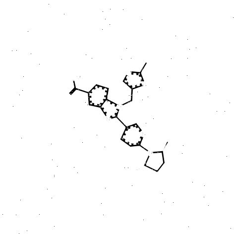 COC(=O)c1ccc2c(c1)nc(-c1ccc(N3[C@@H](C)CC[C@@H]3C)nc1)n2Cc1coc(C)n1